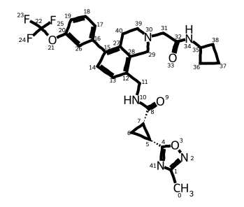 Cc1noc([C@@H]2C[C@@H]2C(=O)NCc2ccc(-c3cccc(OC(F)(F)F)c3)c3c2CN(CC(=O)NC2CCC2)CC3)n1